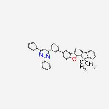 CC1(C)c2ccccc2-c2ccc3c(oc4ccc(-c5cccc(-c6cc(-c7ccccc7)nc(-c7ccccc7)n6)c5)cc43)c21